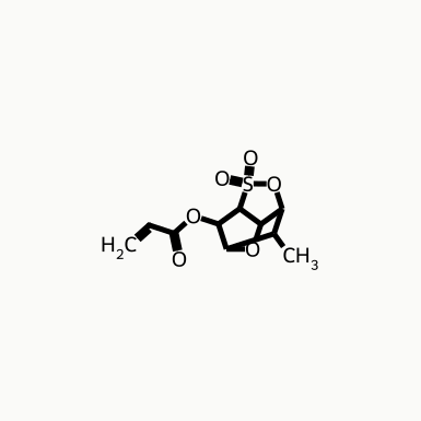 C=CC(=O)OC1C2OC3C(OS(=O)(=O)C13)C2C